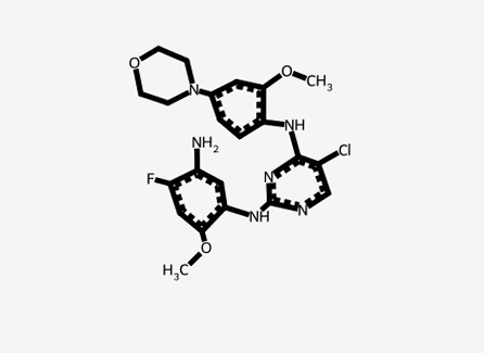 COc1cc(F)c(N)cc1Nc1ncc(Cl)c(Nc2ccc(N3CCOCC3)cc2OC)n1